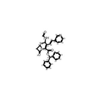 O=CNC1SC2CC(=O)N2C(C(=O)OC(c2ccccc2)c2ccccc2)=C1/C=C/c1cccnc1